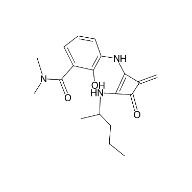 C=C1C(=O)C(NC(C)CCC)=C1Nc1cccc(C(=O)N(C)C)c1O